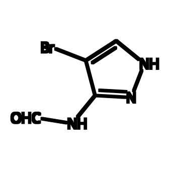 O=CNc1n[nH]cc1Br